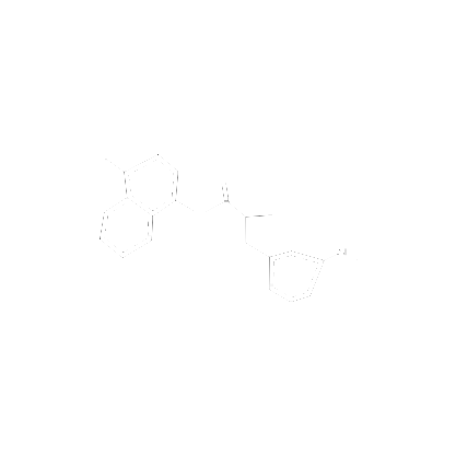 CC(Cc1cccc(N)c1)C(=O)Oc1ccc(Cl)c2ccccc12